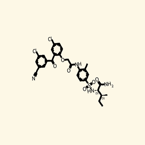 CC[C@H](C)[C@H](NS(=O)(=O)c1ccc(NC(=O)COc2ccc(Cl)cc2C(=O)c2cc(Cl)cc(C#N)c2)c(C)c1)C(N)=O